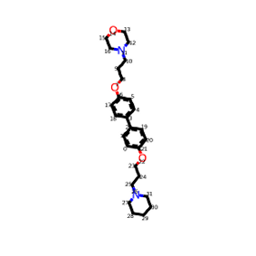 c1cc(-c2ccc(OCCCN3CCOCC3)cc2)ccc1OCCCN1CCCCC1